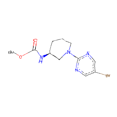 CC(C)(C)OC(=O)N[C@H]1CCCN(c2ncc(Br)cn2)C1